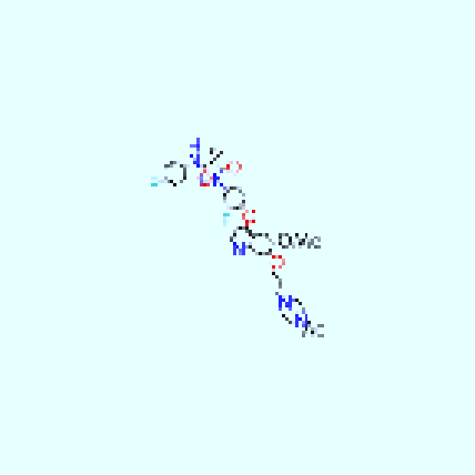 COc1cc2c(Oc3ccc(NC(=O)C4(C(=O)Nc5ccc(F)cc5)CC4)cc3F)ccnc2cc1OCCCN1CCN(C(C)=O)CC1